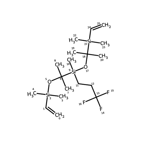 C=C[Si](C)(C)OC(C)(C)[Si](C)(CCC(F)(F)F)OC(C)(C)[Si](C)(C)C=C